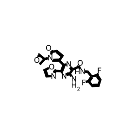 Nc1nc(-c2ncco2)c(-c2ccc(=O)n(C3COC3)c2)nc1C(=O)NCc1c(F)cccc1F